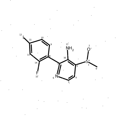 C[S+]([O-])c1ccnc(-c2ccc(I)cc2F)c1N